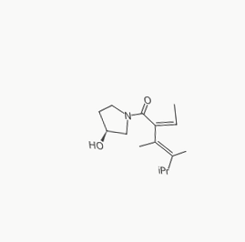 C/C=C(C(=O)N1CC[C@H](O)C1)/C(C)=C(\C)C(C)C